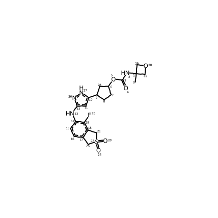 CC1(NC(=O)OC2CCC(c3cc(Nc4ccc5c(c4F)CS(=O)(=O)C5)n[nH]3)C2)COC1